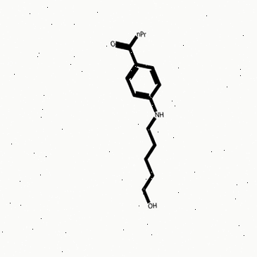 CCCC(=O)c1ccc(NCCCCCO)cc1